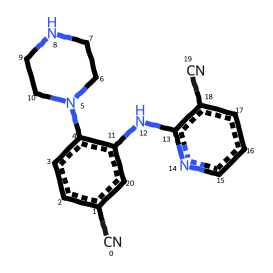 N#Cc1ccc(N2CCNCC2)c(Nc2ncccc2C#N)c1